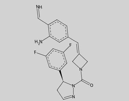 N=Cc1ccc(C=C2CN(C(=O)N3N=CC[C@H]3c3cc(F)cc(F)c3)C2)cc1N